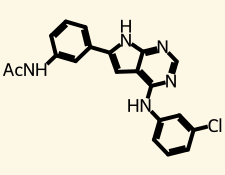 CC(=O)Nc1cccc(-c2cc3c(Nc4cccc(Cl)c4)ncnc3[nH]2)c1